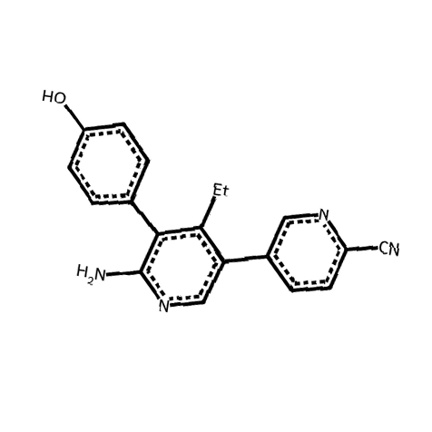 CCc1c(-c2ccc(C#N)nc2)cnc(N)c1-c1ccc(O)cc1